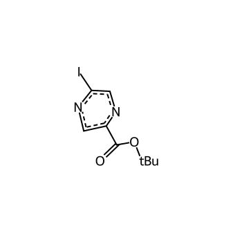 CC(C)(C)OC(=O)c1cnc(I)cn1